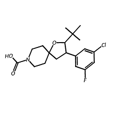 CC(C)(C)C1OC2(CCN(C(=O)O)CC2)CC1c1cc(F)cc(Cl)c1